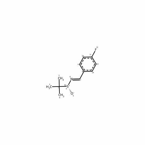 CC(C)(C)[S@@+]([O-])N=Cc1ccc(F)cc1